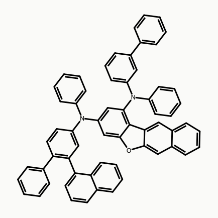 c1ccc(-c2cccc(N(c3ccccc3)c3cc(N(c4ccccc4)c4ccc(-c5ccccc5)c(-c5cccc6ccccc56)c4)cc4oc5cc6ccccc6cc5c34)c2)cc1